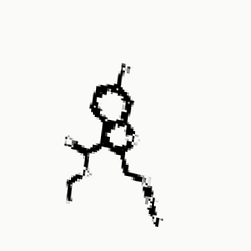 CCOC(=O)c1c(CN=[N+]=[N-])oc2cc(Br)ccc12